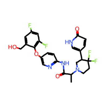 CC(C(=O)Nc1ccc(Oc2c(F)cc(F)cc2CO)cn1)N1CCC(F)(F)C(c2ccc(=O)[nH]c2)C1